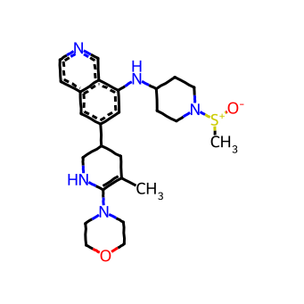 CC1=C(N2CCOCC2)NCC(c2cc(NC3CCN([S+](C)[O-])CC3)c3cnccc3c2)C1